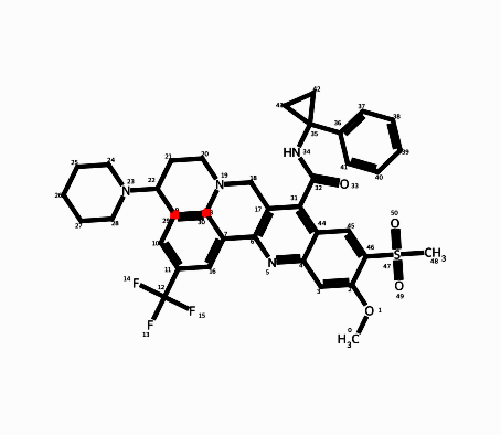 COc1cc2nc(-c3cccc(C(F)(F)F)c3)c(CN3CCC(N4CCCCC4)CC3)c(C(=O)NC3(c4ccccc4)CC3)c2cc1S(C)(=O)=O